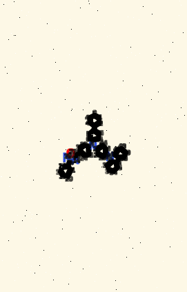 c1ccc(-c2ccc(N(c3ccc(-c4nc(-c5ccccc5)no4)cc3)c3ccc(-n4c5ccccc5c5ccccc54)cc3)cc2)cc1